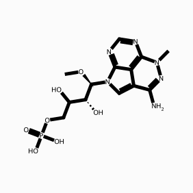 CO[C@H]([C@H](O)C(O)COP(=O)(O)O)n1cc2c3c(ncnc31)N(C)N=C2N